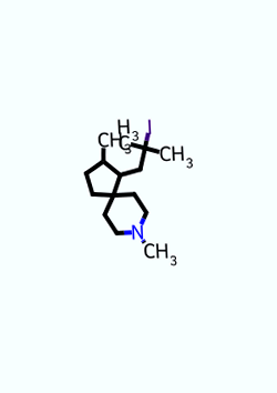 CC1CCC2(CCN(C)CC2)C1CC(C)(C)I